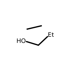 CC.CCCO